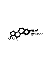 CNS(=O)(=O)Oc1ccc2c(c1)CCC1C2CC[C@]2(C)C(=O)CCC12